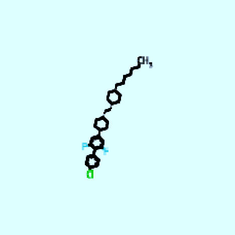 CCCCCCC[C@H]1CC[C@H](CC[C@H]2CC[C@H](c3cc(F)c(-c4ccc(Cl)cc4)c(F)c3)CC2)CC1